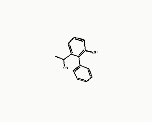 CC(O)c1cccc(O)c1-c1ccccc1